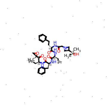 CC(C)C[C@H](NC(=O)[C@H](CCc1ccccc1)NC(=O)CN1CC([Si](C)(C)O)C1)C(=O)N[C@@H](Cc1ccccc1)C(=O)N[C@@H](CC(C)C)C(=O)[C@@]1(C)CO1